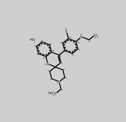 Cl.O=C(O)CN1CCC2(C=C(c3ccc(OCC(F)(F)F)c(F)c3)c3ccccc3O2)CC1